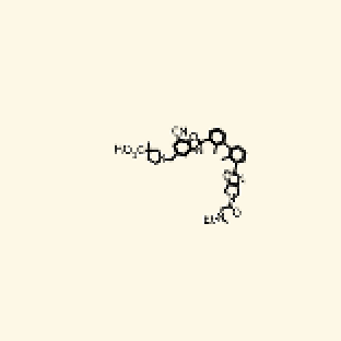 CCN(C)CC(=O)N1Cc2nc(-c3cccc(-c4cccc(-c5nc6cc(CN7CCC(C)(C(=O)O)C7)cc(C#N)c6o5)c4C)c3C)oc2C1